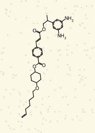 C=CCCCCCOC1CCC(OC(=O)c2ccc(/C=C/C(=O)OCC(C)c3cc(N)cc(N)c3)cc2)CC1